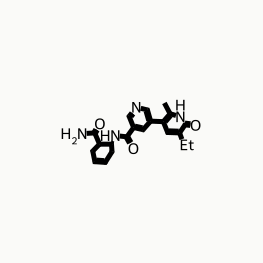 CCc1cc(-c2cncc(C(=O)N[C@H]3CC=CCC3C(N)=O)c2)c(C)[nH]c1=O